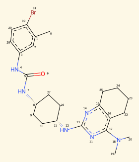 Cc1cc(NC(=O)N[C@H]2CC[C@@H](Nc3nc4c(c(N(C)C)n3)CCCC4)CC2)ccc1Br